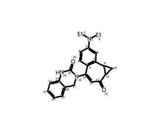 CCN(CC)c1ccc2c(c1)C1CC1C(=O)C=C2N1Cc2ccccc2NC1=O